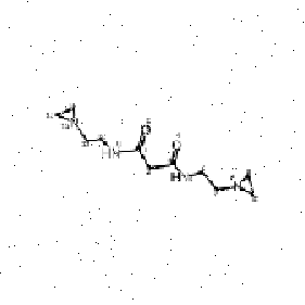 O=C(CC(=O)NCCN1CC1)NCCN1CC1